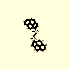 C[Si](C)(CC[Si](C)(C)c1ccc2ccc3cccc4ccc1c2c34)c1ccc2ccc3cccc4ccc1c2c34